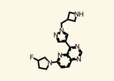 FC1CCN(c2ccc3ncnc(-c4cnn(CC5CNC5)c4)c3n2)C1